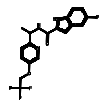 CC(NC(=O)c1cc2cc(F)ccc2[nH]1)c1ccc(OCC(F)(F)F)cn1